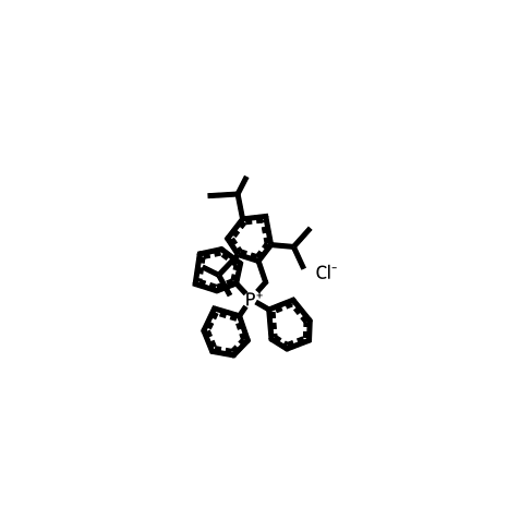 CC(C)c1cc(C(C)C)c(C[P+](c2ccccc2)(c2ccccc2)c2ccccc2)c(C(C)C)c1.[Cl-]